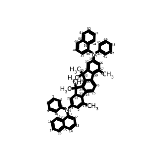 CC1=CC(N(c2ccccc2)c2cccc3ccccc23)=CC2C1c1ccc3c(c1C2(C)C)C(C)(C)c1cc(N(c2ccccc2)c2cccc4ccccc24)cc(C)c1-3